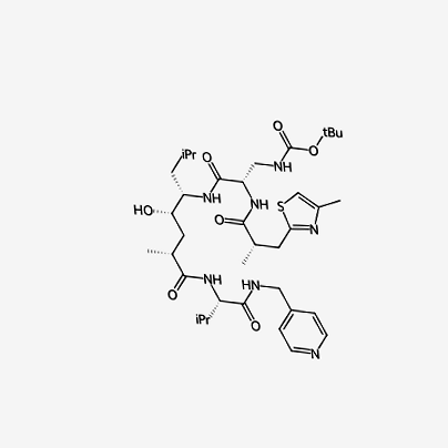 Cc1csc(C[C@H](C)C(=O)N[C@@H](CNC(=O)OC(C)(C)C)C(=O)N[C@@H](CC(C)C)[C@@H](O)C[C@@H](C)C(=O)N[C@H](C(=O)NCc2ccncc2)C(C)C)n1